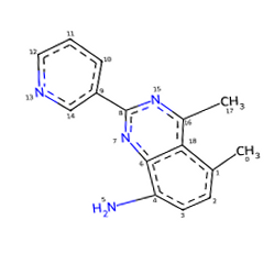 Cc1ccc(N)c2nc(-c3cccnc3)nc(C)c12